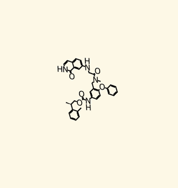 Cc1ccccc1[C@@H](C)COC(=O)Nc1ccc(Oc2ccccc2)c(CN(C)C(=O)CNc2ccc3cc[nH]c(=O)c3c2)c1